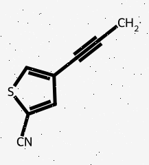 [CH2]C#Cc1csc(C#N)c1